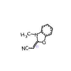 CN1/C(=C\C#N)Oc2ccccc21